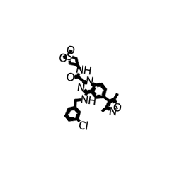 Cc1noc(C)c1-c1ccc2nc(C(=O)NC3CS(=O)(=O)C3)nc(NCc3cccc(Cl)c3)c2c1